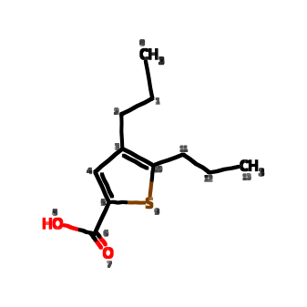 CCCc1cc(C(=O)O)sc1CCC